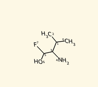 CC(C)C(N)C(O)F